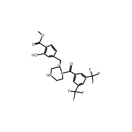 COC(=O)c1ccc(C[C@@H]2CNCCN2C(=O)c2cc(C(F)(F)F)cc(C(F)(F)F)c2)cc1O